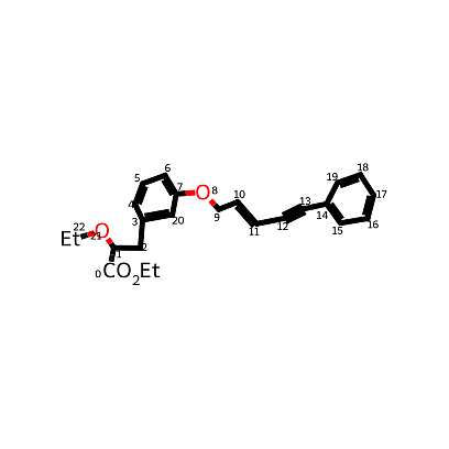 CCOC(=O)C(Cc1cccc(OC/C=C/C#Cc2ccccc2)c1)OCC